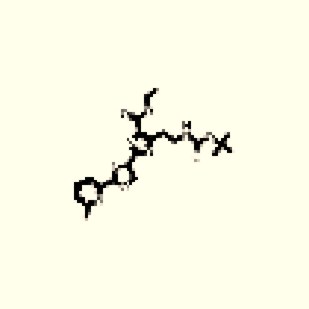 CCOC(=O)c1nc(C2COC(c3cccc(C)n3)=N2)oc1CCNC(=O)OC(C)(C)C